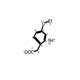 CCOc1ccc(CC(=O)[O-])cc1.[Na+]